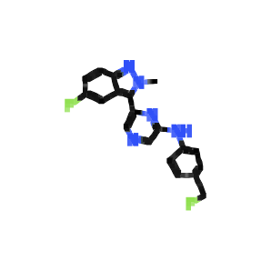 Cn1nc2ccc(F)cc2c1-c1cncc(Nc2ccc(CF)cc2)n1